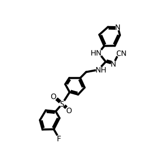 N#CN=C(NCc1ccc(S(=O)(=O)c2cccc(F)c2)cc1)Nc1ccncc1